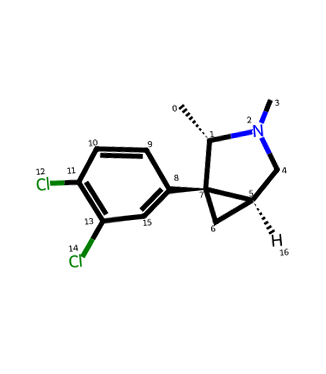 C[C@@H]1N(C)C[C@H]2C[C@@]21c1ccc(Cl)c(Cl)c1